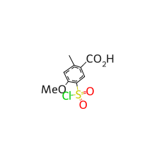 COc1cc(C)c(C(=O)O)cc1S(=O)(=O)Cl